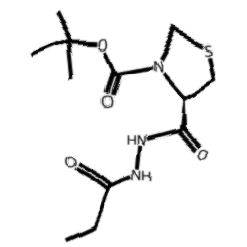 CCC(=O)NNC(=O)[C@@H]1CSCN1C(=O)OC(C)(C)C